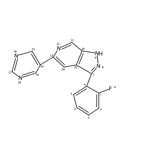 Fc1ccccc1-c1n[nH]c2cnc(-c3cncnc3)cc12